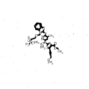 CCOC(=O)c1nc(N(C)c2cc(C)c(N=c3sc4ccccc4n3COCC[Si](C)(C)C)nn2)sc1C#CCOC